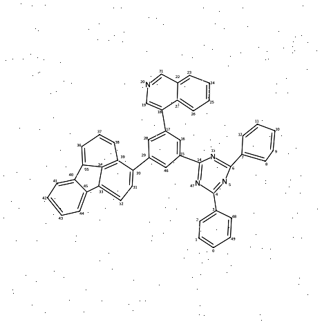 c1ccc(-c2nc(-c3ccccc3)nc(-c3cc(-c4cncc5ccccc45)cc(-c4ccc5c6c(cccc46)-c4ccccc4-5)c3)n2)cc1